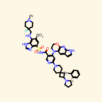 CC(C)c1ccccc1[C@@H]1CCCN1C1CC2(CCN(c3cc(N4CCOc5nc6[nH]ccc6cc54)c(C(=O)NS(=O)(=O)c4cc([N+](=O)[O-])c(NCC5(F)CCN(C(C)C)CC5)c5[nH]cnc45)cn3)CC2)C1